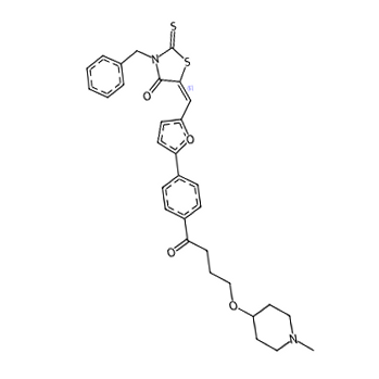 CN1CCC(OCCCC(=O)c2ccc(-c3ccc(/C=C4/SC(=S)N(Cc5ccccc5)C4=O)o3)cc2)CC1